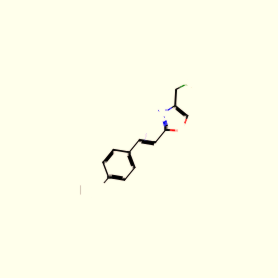 FC(F)(F)c1ccc(/C=C/c2nc(CCl)co2)cc1